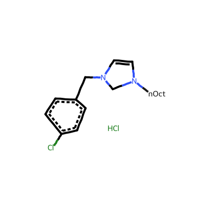 CCCCCCCCN1C=CN(Cc2ccc(Cl)cc2)C1.Cl